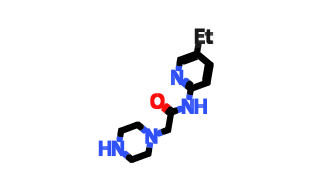 CCc1ccc(NC(=O)CN2CCNCC2)nc1